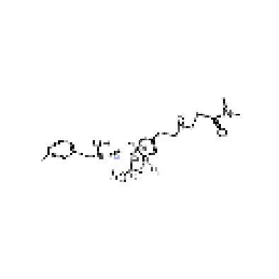 Cc1cccc(C[C@@H](O)/C=C/[C@@H]2[C@H]3CC(CCNCCC(=O)N(C)C)=C[C@H]3C[C@H]2O)c1